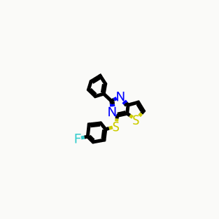 Fc1ccc(Sc2nc(-c3ccccc3)nc3ccsc23)cc1